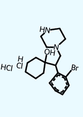 Cl.Cl.OC1(C(CN2CCNCC2)c2ccccc2Br)CCCCC1